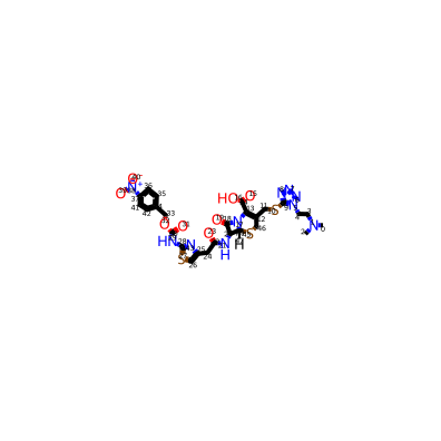 CN(C)CCn1nnnc1SCC1=C(C(=O)O)N2C(=O)C(NC(=O)Cc3csc(NC(=O)OCc4ccc([N+](=O)[O-])cc4)n3)[C@H]2SC1